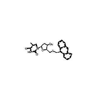 Cc1cn([C@H]2CC(O)[C@@H](CSCc3c4ccccc4cc4ccccc34)O2)c(=O)[nH]c1=O